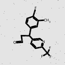 Cc1cc(C(CC=O)c2ccc(C(F)(F)F)nc2)ccc1F